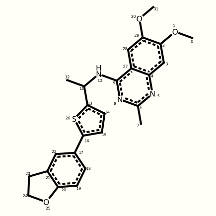 COc1cc2nc(C)nc(NC(C)c3ccc(-c4ccc5c(c4)CCO5)s3)c2cc1OC